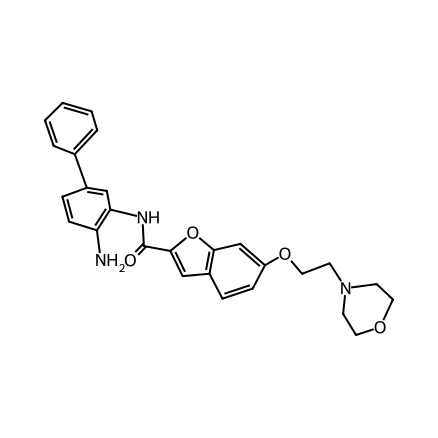 Nc1ccc(-c2ccccc2)cc1NC(=O)c1cc2ccc(OCCN3CCOCC3)cc2o1